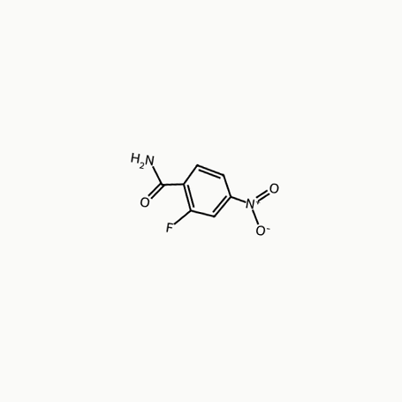 NC(=O)c1ccc([N+](=O)[O-])cc1F